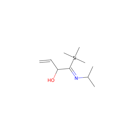 C=CC(O)C(=NC(C)C)[Si](C)(C)C